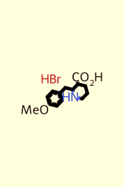 Br.COc1ccc(CC2NCCCC2C(=O)O)cc1